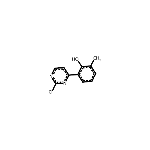 Cc1cccc(-c2ccnc(Cl)n2)c1O